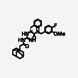 COc1cc(CNC(=O)[C@@H](Cc2ccccc2)NC(=N)NC(=O)CC23CC4CC(CC(C4)C2)C3)ccc1F